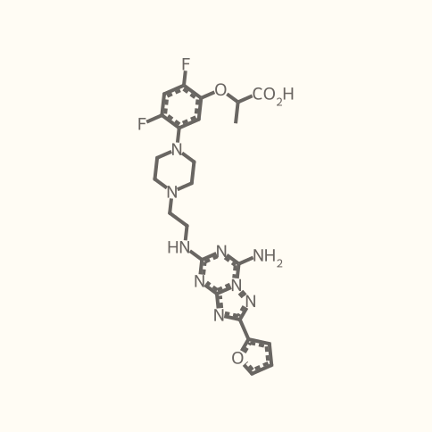 CC(Oc1cc(N2CCN(CCNc3nc(N)n4nc(-c5ccco5)nc4n3)CC2)c(F)cc1F)C(=O)O